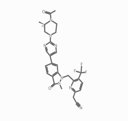 CC(=O)N1CCN(c2ncc(-c3ccc4c(=O)n(C)n(Cc5nc(CC#N)ccc5C(F)(F)F)c4c3)cn2)C[C@H]1C